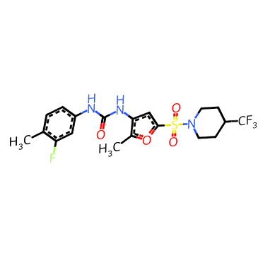 Cc1ccc(NC(=O)Nc2cc(S(=O)(=O)N3CCC(C(F)(F)F)CC3)oc2C)cc1F